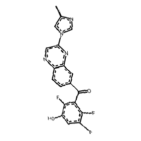 Cc1cn(-c2cnc3ccc(C(=O)c4c(F)c(O)cc(F)c4F)cc3n2)cn1